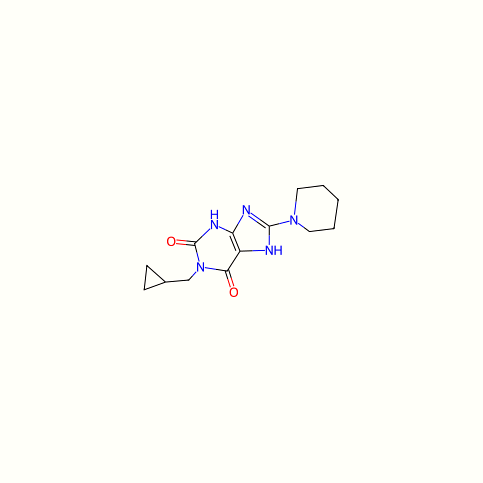 O=c1[nH]c2nc(N3CCCCC3)[nH]c2c(=O)n1CC1CC1